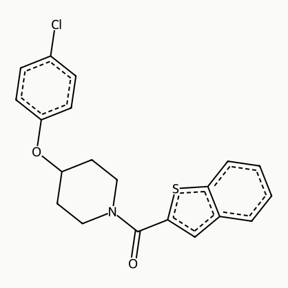 O=C(c1cc2ccccc2s1)N1CCC(Oc2ccc(Cl)cc2)CC1